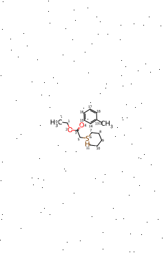 CCOC(=O)C[SH]1CCCCC1.Cc1ccccc1